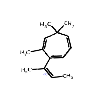 C/C=C(/C)C1=CC=CC(C)(C)C=C1C